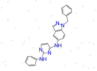 c1ccc(Cn2ncc3cc(Nc4ccnc(Nc5ccccc5)n4)ccc32)cc1